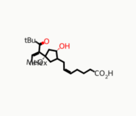 CCCCCC/C=C(/C(=O)C(C)(C)C)[C@]1(OC)CC(C/C=C\CCCC(=O)O)[C@@H](O)C1